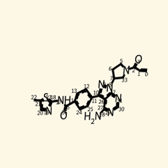 C=CC(=O)N1CCC(n2nc(-c3ccc(C(=O)Nc4ncc(C)s4)cc3)c3c(N)ncnc32)C1